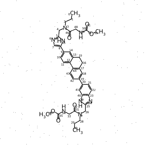 CCCN(Cc1ncc(-c2ccc3c(c2)CCc2cc(-c4ccc5nc(CN(CCC)C(=O)CNC(=O)OC)[nH]c5c4)ccc2-3)[nH]1)C(=O)CNC(=O)OC